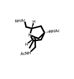 CC(=O)NC[C@@H]1C[C@@]2(NC(C)=O)CC(C)N1[C@@H](CNC(C)=O)C2